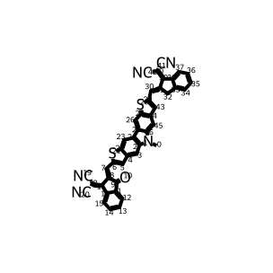 Cn1c2cc3cc(/C=C4\C(=O)c5ccccc5C4=C(C#N)C#N)sc3cc2c2cc3sc(/C=C4\Cc5ccccc5C4=C(C#N)C#N)cc3cc21